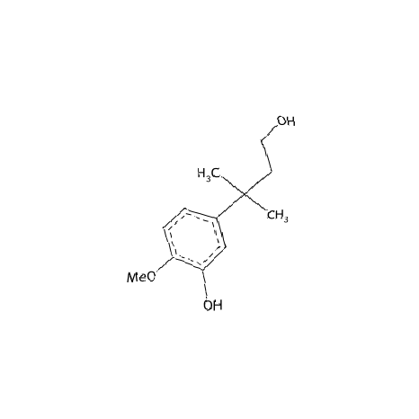 COc1ccc(C(C)(C)CCO)cc1O